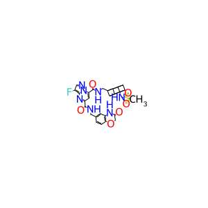 CS(=O)(=O)NC12C3C4C1C1C2C3C41CNC(=O)c1cc(C(=O)NCc2ccc3c(c2)NC(=O)CO3)nc2c(F)cnn12